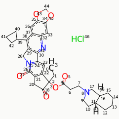 CCC1(OC(=O)CCN2CC[C@H]3CCCC[C@@H]3C2)C(=O)Cc2c1cc1n(c2=O)Cc2c-1nc1cc3c(cc1c2C1CCC1)OCO3.Cl